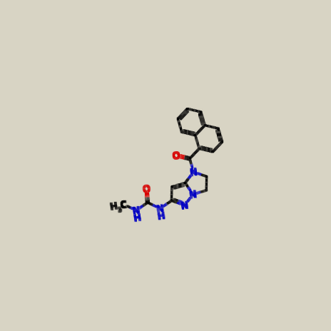 CNC(=O)Nc1cc2n(n1)CCN2C(=O)c1cccc2ccccc12